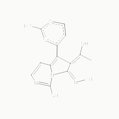 C/N=C1\C(=C(\N)I)C(c2ccnc(N)n2)=C2C=CN=C(N)N21